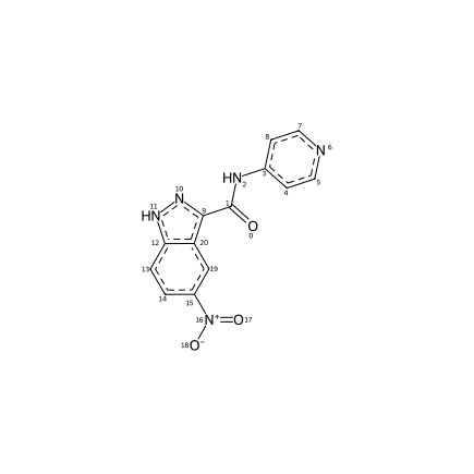 O=C(Nc1ccncc1)c1n[nH]c2ccc([N+](=O)[O-])cc12